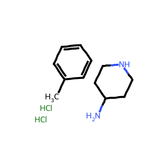 Cc1ccccc1.Cl.Cl.NC1CCNCC1